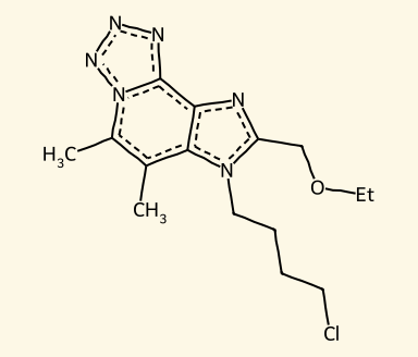 CCOCc1nc2c(c(C)c(C)n3nnnc23)n1CCCCCl